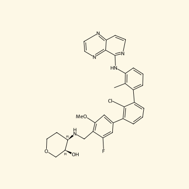 COc1cc(-c2cccc(-c3cccc(Nc4nccc5nccnc45)c3C)c2Cl)cc(F)c1CN[C@@H]1CCOC[C@@H]1O